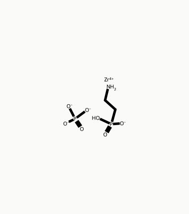 NCCP(=O)([O-])O.O=P([O-])([O-])[O-].[Zr+4]